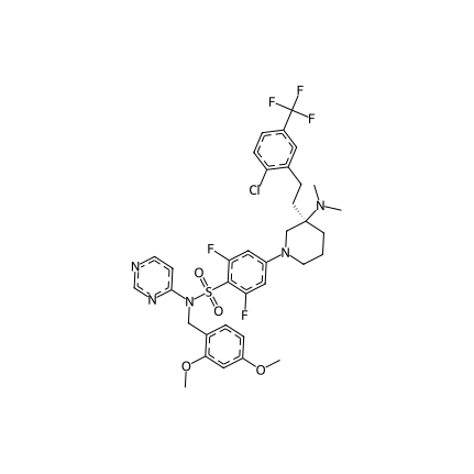 COc1ccc(CN(c2ccncn2)S(=O)(=O)c2c(F)cc(N3CCC[C@](CCc4cc(C(F)(F)F)ccc4Cl)(N(C)C)C3)cc2F)c(OC)c1